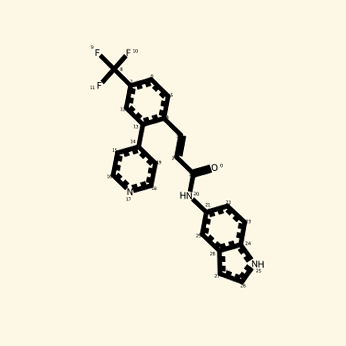 O=C(C=Cc1ccc(C(F)(F)F)cc1-c1ccncc1)Nc1ccc2[nH]ccc2c1